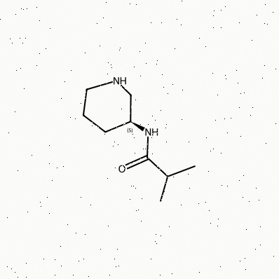 CC(C)C(=O)N[C@H]1CCCNC1